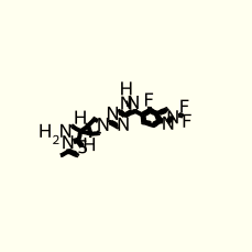 Cc1csc(C2(CN)[C@@H]3CN(c4cnc5c(-c6ccc7nn(C(F)F)cc7c6F)n[nH]c5n4)C[C@@H]32)n1